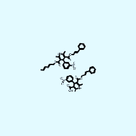 CC1=C(C(=O)O)C(c2cccc([N+](=O)[O-])c2)C(C(=O)OCC=Cc2ccccc2)=C(C)N1.CC=CC=CCOC(=O)C1=C(C)NC(C)=C(C(=O)OCC=Cc2ccccc2)C1c1cccc([N+](=O)[O-])c1